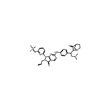 C=CCn1c(=O)c2cnc(Nc3ccc(C(CN(C)C)C4C(=O)C5CCN4C5)cc3)nc2n1-c1cccc(N=S(C)(C)=O)n1